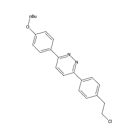 CCCCOc1ccc(-c2ccc(-c3ccc(CCCl)cc3)nn2)cc1